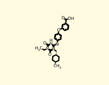 CCn1c(=O)[nH]/c(=N\c2ccc(Oc3cccc(C(=O)O)c3)cc2)n(C[C@H]2CC[C@H](C)CC2)c1=O